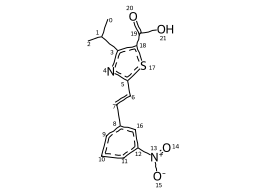 CC(C)c1nc(C=Cc2cccc([N+](=O)[O-])c2)sc1C(=O)O